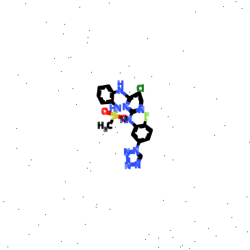 CS(=O)(=O)Nc1ccccc1Nc1nc(Nc2cc(-n3cnnn3)ccc2F)ncc1Cl